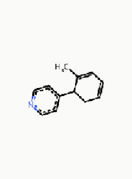 CC1=CC=CCC1c1ccncc1